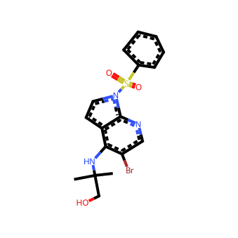 CC(C)(CO)Nc1c(Br)cnc2c1ccn2S(=O)(=O)c1ccccc1